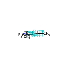 FC(F)(F)C(F)(F)C(F)(F)C(F)(F)C(F)(F)C(F)(F)C(F)(F)C(F)(F)C(F)(F)C(F)(F)C(F)(F)C(F)(F)[N+](C(F)(F)F)(C(F)(F)F)C(F)(F)F.[F-]